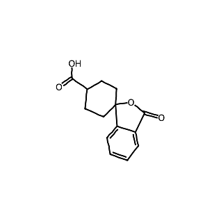 O=C1OC2(CCC(C(=O)O)CC2)c2ccccc21